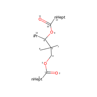 CCCCCCCC(=O)OCC(C)(C)C(OC(=O)CCCCCCC)C(C)C